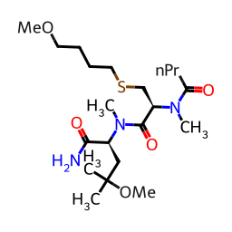 CCCC(=O)N(C)[C@H](CSCCCCOC)C(=O)N(C)[C@@H](CC(C)(C)OC)C(N)=O